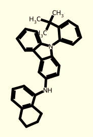 CC(C)(C)c1ccccc1-n1c2ccccc2c2cc(Nc3cccc4c3CCCC4)ccc21